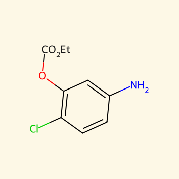 CCOC(=O)Oc1cc(N)ccc1Cl